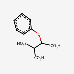 O=C(O)C(Oc1ccccc1)C(C(=O)O)S(=O)(=O)O